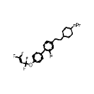 CCCC1CCC(CCc2ccc(-c3ccc(OC(F)(F)C=C(F)F)cc3)c(F)c2)CC1